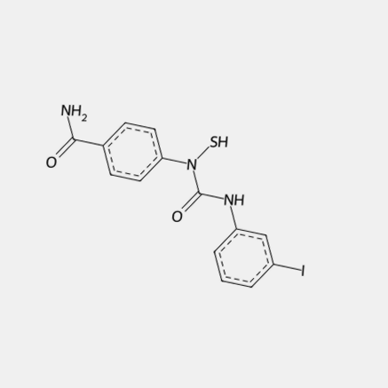 NC(=O)c1ccc(N(S)C(=O)Nc2cccc(I)c2)cc1